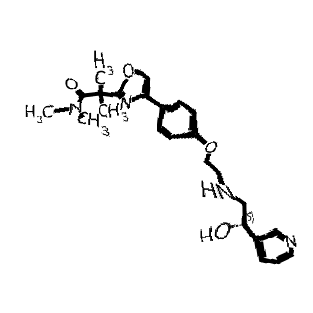 CN(C)C(=O)C(C)(C)c1nc(-c2ccc(OCCNC[C@@H](O)c3cccnc3)cc2)co1